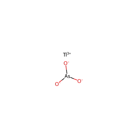 [O-][As]([O-])[O-].[Tl+3]